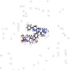 COc1c(NC2CCN(C(=O)c3ccc(-n4c(-c5cccnc5N)nc5ccc(-c6ccccc6)nc54)cc3)CC2)c(=O)c1=O